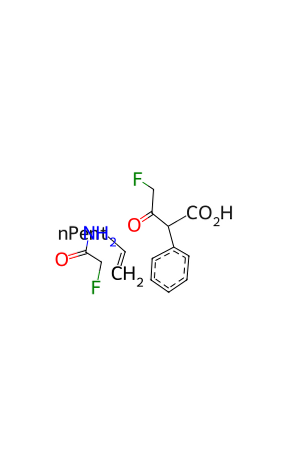 C=CCCCCC.NC(=O)CF.O=C(O)C(C(=O)CF)c1ccccc1